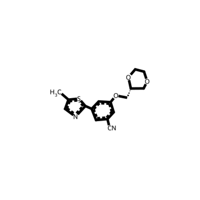 Cc1cnc(-c2cc(C#N)cc(OC[C@H]3COCCO3)c2)s1